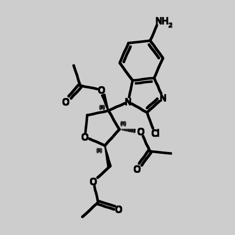 CC(=O)OC[C@H]1OC[C@](OC(C)=O)(n2c(Cl)nc3cc(N)ccc32)[C@@H]1OC(C)=O